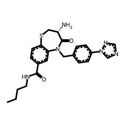 CCCCNC(=O)c1ccc2c(c1)N(Cc1ccc(-n3cncn3)cc1)C(=O)[C@@H](N)CS2